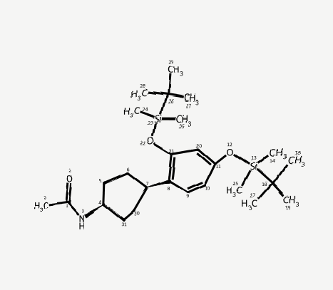 CC(=O)N[C@H]1CC[C@@H](c2ccc(O[Si](C)(C)C(C)(C)C)cc2O[Si](C)(C)C(C)(C)C)CC1